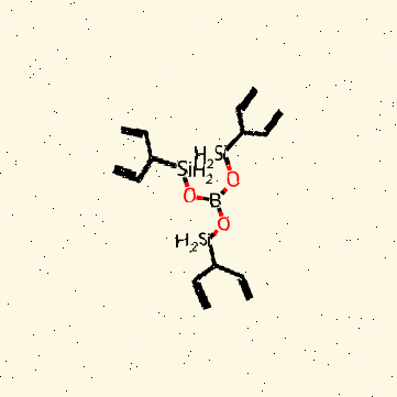 C=CC(C=C)[SiH2]OB(O[SiH2]C(C=C)C=C)O[SiH2]C(C=C)C=C